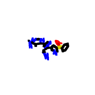 CNc1ncnc(-c2cnn(C(CC#N)c3cncc([S+]([O-])c4ccccc4)c3)c2)c1C